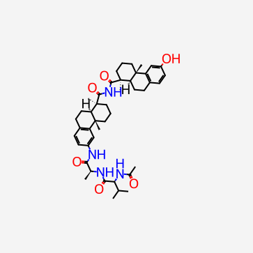 CC(=O)N[C@H](C(=O)N[C@@H](C)C(=O)Nc1ccc2c(c1)[C@@]1(C)CCC[C@](C)(C(=O)NC(=O)[C@@]3(C)CCC[C@]4(C)c5cc(O)ccc5CC[C@@H]34)[C@@H]1CC2)C(C)C